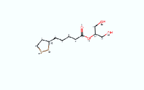 O=C(CCCC[C@@H]1CCSS1)OC(CO)CO